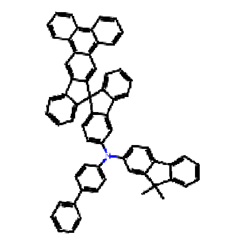 CC1(C)c2ccccc2-c2ccc(N(c3ccc(-c4ccccc4)cc3)c3ccc4c(c3)-c3ccccc3C43c4ccccc4-c4cc5c6ccccc6c6ccccc6c5cc43)cc21